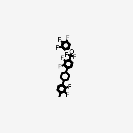 Cc1ccc(C2CCC(c3ccc(C(F)(F)Oc4cc(F)c(F)c(F)c4)c(F)c3F)CC2)c(F)c1F